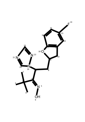 CC(C)(C)C(=NO)C(CC1Cc2cc(F)ccc2O1)n1cncn1